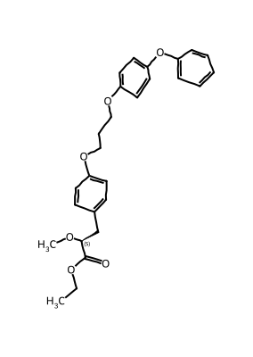 CCOC(=O)[C@H](Cc1ccc(OCCCOc2ccc(Oc3ccccc3)cc2)cc1)OC